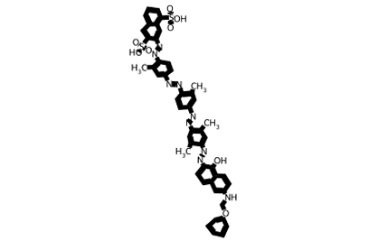 Cc1cc(N=Nc2cc(C)c(N=Nc3ccc4cc(NCOc5ccccc5)ccc4c3O)cc2C)ccc1N=Nc1ccc(N=Nc2cc3c(S(=O)(=O)O)cccc3cc2S(=O)(=O)O)c(C)c1